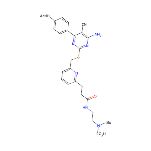 CC(=O)Nc1ccc(-c2nc(SCc3cccc(CCC(=O)NCCN(C(=O)O)C(C)(C)C)n3)nc(N)c2C#N)cc1